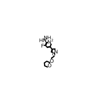 NNc1ncc(-c2cnn(CCOC3CCCCO3)c2)cc1F